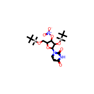 CC(C)(C)[Si](C)(C)OCC1OC(n2ccc(=O)[nH]c2=O)C(O[Si](C)(C)C(C)(C)C)C1O[N+](=O)[O-]